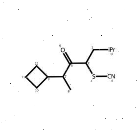 CC(C)CC(SC#N)C(=O)C(C)C1CCC1